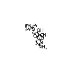 CC(C)[Si](OC[C@H]1O[C@@H](n2ccc(N)nc2=O)[C@@H](C#N)[C@@H]1O)(C(C)C)C(C)C